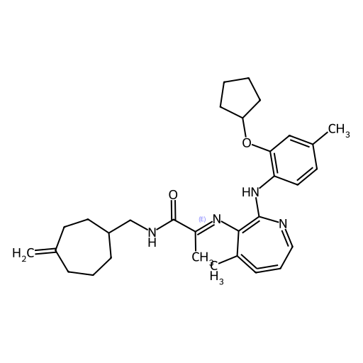 C=C1CCCC(CNC(=O)/C(C)=N/C2=C(Nc3ccc(C)cc3OC3CCCC3)N=CC=C=C2C)CC1